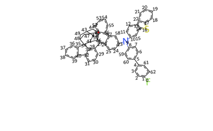 Fc1ccc(-c2ccc(N(c3ccc4c(c3)sc3ccccc34)c3ccc4c(-c5cccc6c5C5(c7ccccc7-6)C6CC7CC(C6)CC5C7)cc5ccccc5c4c3)cc2)cc1